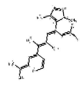 CC\C=C/C(=C\C=C(C)C)C(/C)=C(N)/C=C(\C=C(\C)CC)c1c(C)nnn1C